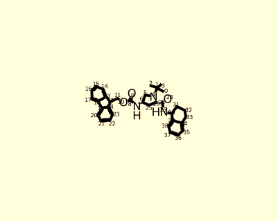 CC(C)(C)N1C[C@@H](NC(=O)OCC2c3ccccc3-c3ccccc32)C[C@H]1C(=O)NC1CCCc2ccccc21